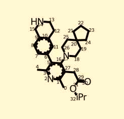 Cc1nc(C)c(-c2ccc3c(c2)CCNC3)c(N2CCC3(CCCC3)CC2)c1CC(=O)OC(C)C